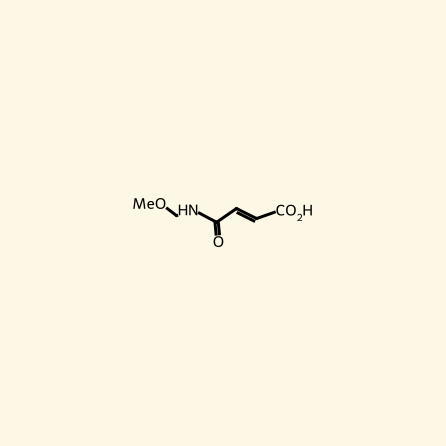 COCNC(=O)/C=C/C(=O)O